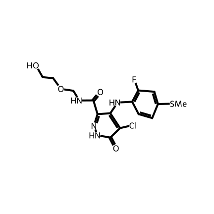 CSc1ccc(Nc2c(C(=O)NCOCCO)n[nH]c(=O)c2Cl)c(F)c1